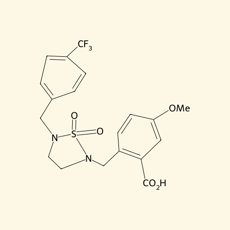 COc1ccc(CN2CCN(Cc3ccc(C(F)(F)F)cc3)S2(=O)=O)c(C(=O)O)c1